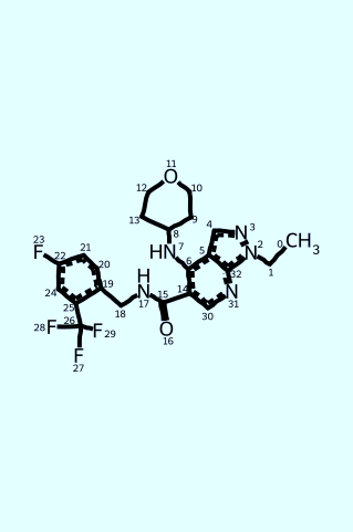 CCn1ncc2c(NC3CCOCC3)c(C(=O)NCc3ccc(F)cc3C(F)(F)F)cnc21